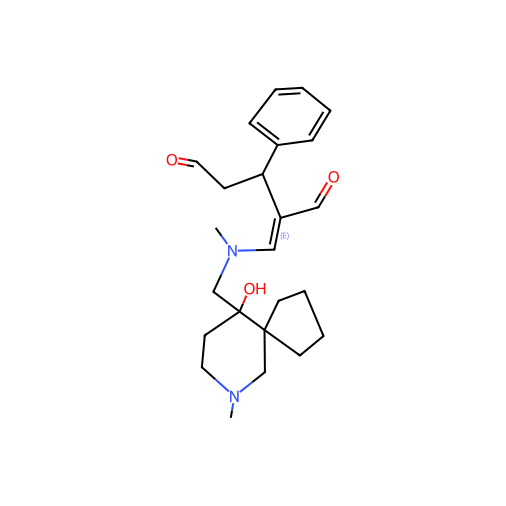 CN(/C=C(/C=O)C(CC=O)c1ccccc1)CC1(O)CCN(C)CC12CCCC2